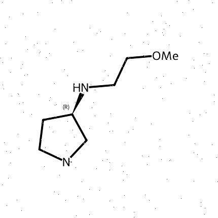 COCCN[C@@H]1CC[N]C1